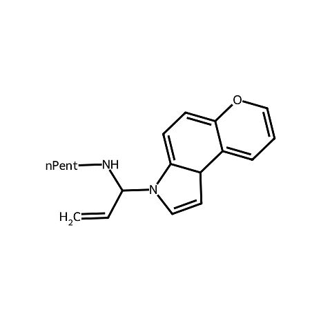 C=CC(NCCCCC)N1C=CC2C3=CC=COC3=CC=C21